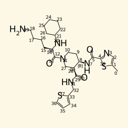 Cc1cnc(C(=O)N[C@@H]2CCN(C(=O)[C@@H](CCCCN)NC3CCCCC3)C[C@@H]2C(=O)NCc2cccs2)s1